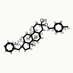 CC(=O)[C@@]1(Cc2ccccc2)CC[C@H]2[C@@H]3CC=C4CC(O)(OCc5ccc(C)cc5)CC[C@]4(C)[C@H]3CC[C@@]21C